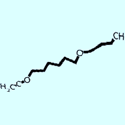 [CH2]COCCCCCCOCCCC